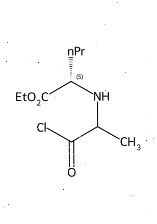 CCC[C@H](NC(C)C(=O)Cl)C(=O)OCC